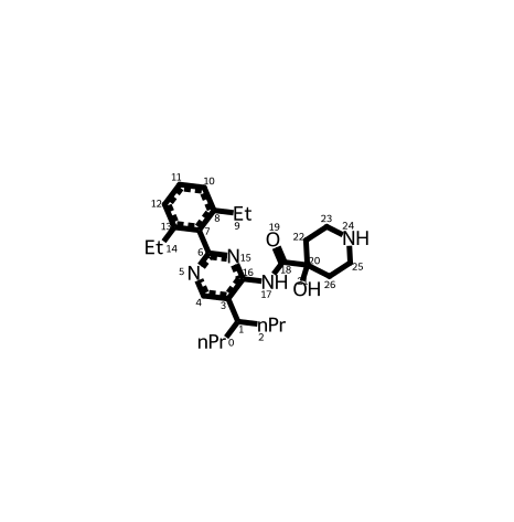 CCCC(CCC)c1cnc(-c2c(CC)cccc2CC)nc1NC(=O)C1(O)CCNCC1